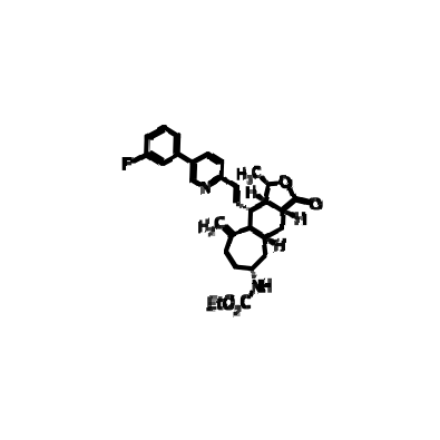 C=C1CC[C@@H](NC(=O)OCC)C[C@H]2C[C@H]3C(=O)O[C@H](C)[C@H]3[C@@H](/C=C/c3ccc(-c4cccc(F)c4)cn3)C12